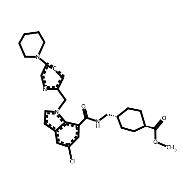 COC(=O)[C@H]1CC[C@H](CNC(=O)c2cc(Cl)cc3ccn(Cc4ccc(N5CCCCC5)cn4)c23)CC1